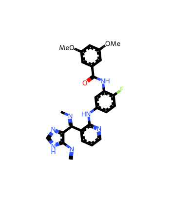 C=Nc1[nH]cnc1/C(=N\C)c1cccnc1Nc1ccc(F)c(NC(=O)c2cc(OC)cc(OC)c2)c1